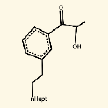 CCCCCCCCCc1cccc(C(=O)C(C)O)c1